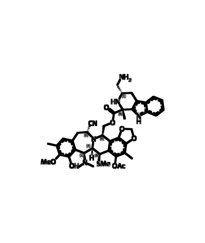 COc1c(C)cc2c(c1O)[C@H](N(C)C)[C@@H]1[C@H](SC)c3c(OC(C)=O)c(C)c4c(c3[C@H](COC(=O)[C@]3(C)N[C@H](CN)Cc5c3[nH]c3ccccc53)N1[C@@H](C#N)C2)OCO4